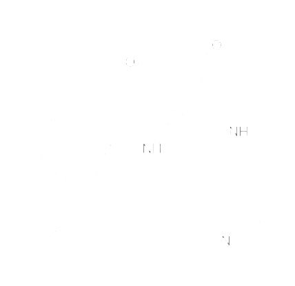 O=c1c(Nc2ccncc2)c(NC2CCCc3ccccc32)c1=O